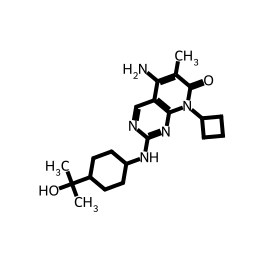 Cc1c(N)c2cnc(NC3CCC(C(C)(C)O)CC3)nc2n(C2CCC2)c1=O